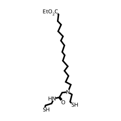 CCOC(=O)CCCCCCCCCCCCCCCN(CCS)CC(=O)NCCS